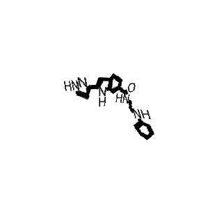 O=C(NCCNc1ccccc1)c1ccc2cc(-c3cc[nH]n3)[nH]c2c1